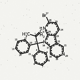 C=C(C)C(c1ccccc1)(c1ccccc1)n1c2ccncc2c2ccc(Br)nc21